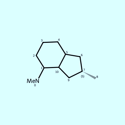 CNC1CCCC2C[C@H](C)CC21